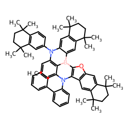 Cc1cc2c3c(c1)N(c1ccccc1-c1ccccc1)c1c(oc4cc5c(cc14)C(C)(C)CCC5(C)C)B3c1cc3c(cc1N2c1ccc2c(c1)C(C)(C)CCC2(C)C)C(C)(C)CCC3(C)C